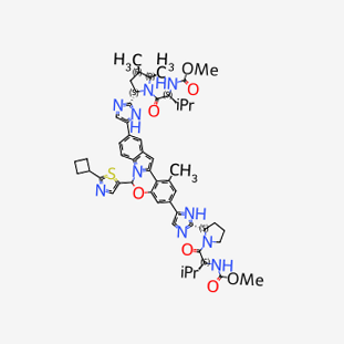 COC(=O)N[C@H](C(=O)N1CCC[C@H]1c1ncc(-c2cc(C)c3c(c2)OC(c2cnc(C4CCC4)s2)n2c-3cc3cc(-c4cnc([C@@H]5C[C@@H](C)[C@@H](C)N5C(=O)[C@@H](NC(=O)OC)C(C)C)[nH]4)ccc32)[nH]1)C(C)C